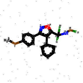 CSc1ccc(-c2noc(C(F)(F)NSF)c2-c2ccccc2)cc1